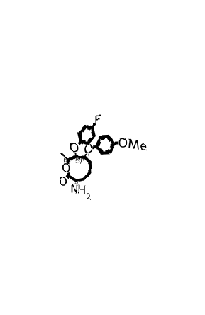 COc1ccc(O[C@H]2CCC[C@H](N)C(=O)O[C@@H](C)[C@@H]2Oc2ccc(F)cc2)cc1